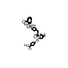 COc1cc(CC(=O)N2CC(F)C[C@H]2COc2ccc(C(=O)O)cc2)ccc1NC(=O)Nc1ccccc1Cl